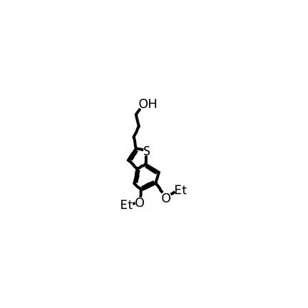 CCOc1cc2cc(CCCO)sc2cc1OCC